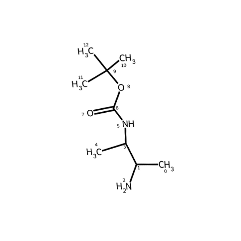 CC(N)C(C)NC(=O)OC(C)(C)C